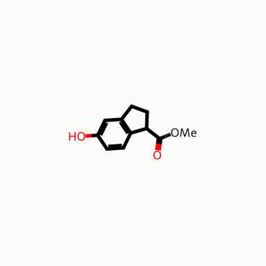 COC(=O)C1CCc2cc(O)ccc21